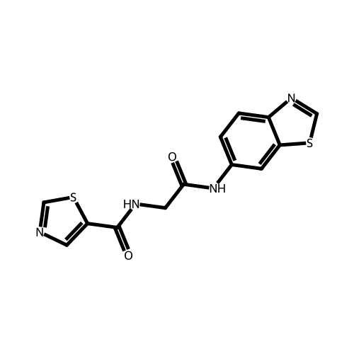 O=C(CNC(=O)c1cncs1)Nc1ccc2ncsc2c1